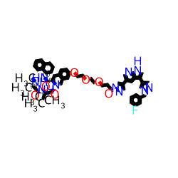 CN[C@H](C)C(=O)N[C@@H](C1OC1N1Cc2cc(OCCOCCOCCC(=O)n3cc(-c4cnc5[nH]cc(-c6cnn(Cc7cccc(F)c7)c6)c5c4)cn3)ccc2C[C@@H]1C(=O)N[C@H]1CCCc2ccccc21)C(C)(C)C